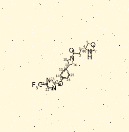 O=C(CC[C@@H]1COCN1)N1CC(c2ccc(Oc3cnc(C(F)(F)F)cn3)cc2)C1